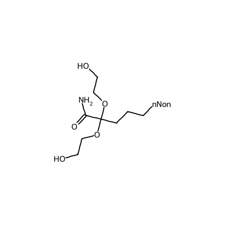 CCCCCCCCCCCCC(OCCO)(OCCO)C(N)=O